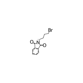 O=C1c2ccccc2C(=O)N1[CH]CCCBr